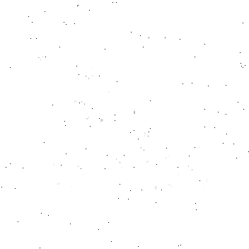 COCCN(C)c1ccc(-c2cc(C(=O)NS(C)(=O)=O)nc3c2c(C(C)C)nn3-c2cccc(N(C)C)c2)cn1